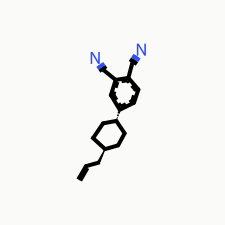 C=CC[C@H]1CC[C@H](c2ccc(C#N)c(C#N)c2)CC1